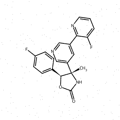 C[C@@]1(c2cncc(-c3ncccc3F)c2)NC(=O)O[C@H]1c1ccc(F)cc1